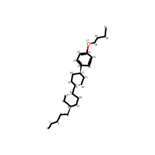 CCCCC[C@H]1CC[C@H]([C@H]2CC[C@H](c3ccc(OCCCC)cc3)CC2)CC1